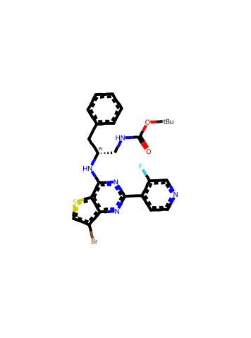 CC(C)(C)OC(=O)NC[C@@H](Cc1ccccc1)Nc1nc(-c2ccncc2F)nc2c(Br)csc12